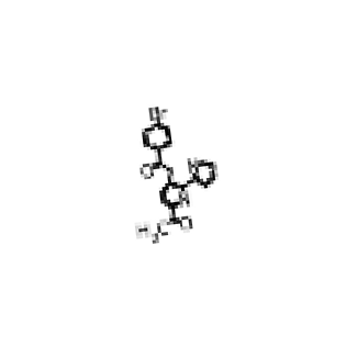 CC(=O)c1ccc(CC(=O)c2ccc(Br)cc2)c(-c2ccccn2)n1